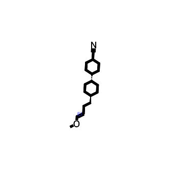 CO/C=C/CC[C@H]1CC[C@H](C2CCC(C#N)CC2)CC1